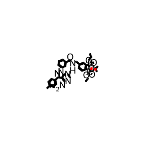 CCOP(=O)(OCC)c1ccc(CNC(=O)c2cccc(-n3nc(-c4ccc(C)cc4)c4c(N)ncnc43)c2)cc1P(=O)(OCC)OCC